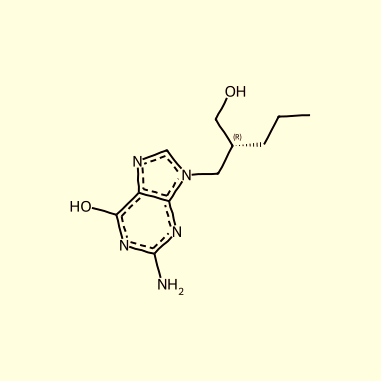 CCC[C@@H](CO)Cn1cnc2c(O)nc(N)nc21